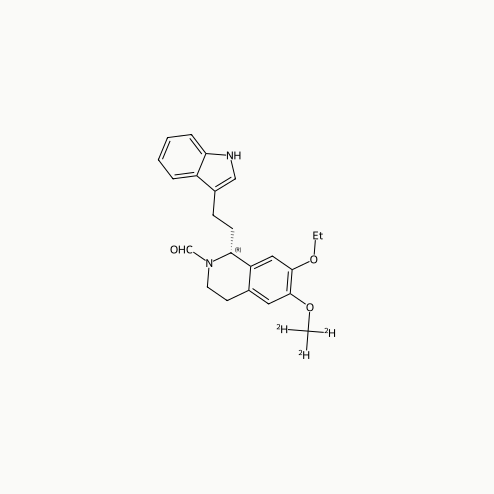 [2H]C([2H])([2H])Oc1cc2c(cc1OCC)[C@@H](CCc1c[nH]c3ccccc13)N(C=O)CC2